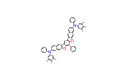 Cc1cc(N(c2ccccc2)c2ccc3cc4c(cc3c2)oc2c(-c3ccccc3)c3oc5cc6cc(N(c7ccccc7)c7cc(C)c(C)c(C)c7)ccc6cc5c3cc24)cc(C)c1C